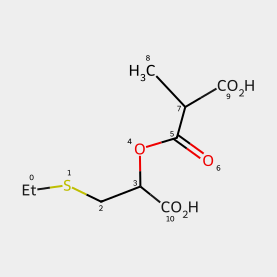 CCSCC(OC(=O)C(C)C(=O)O)C(=O)O